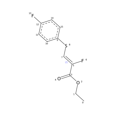 CCOC(=O)/C(F)=C/Sc1ccc(F)cc1